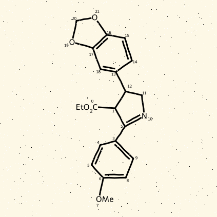 CCOC(=O)C1C(c2ccc(OC)cc2)=NCC1c1ccc2c(c1)OCO2